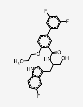 CCCOc1ccc(-c2cc(F)cc(F)c2)cc1C(=O)NC(CO)Cc1c[nH]c2ccc(F)cc12